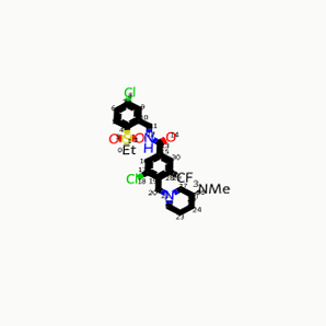 CCS(=O)(=O)c1ccc(Cl)cc1CNC(=O)c1cc(Cl)c(CN2CCC[C@@H](NC)C2)c(C(F)(F)F)c1